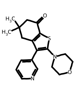 CC1(C)CC(=O)c2sc(N3CCOCC3)c(-c3cccnc3)c2C1